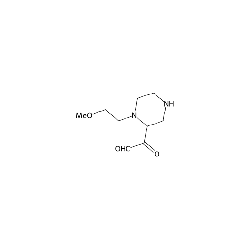 COCCN1CCNCC1C(=O)C=O